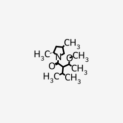 COC(C)C(C(=O)N1CC(C)C[C@H]1C)C(C)C